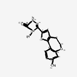 CC(C)n1c(-c2cc3c(s2)-c2ccc(C#N)cc2OCC3)n[nH]c1=O